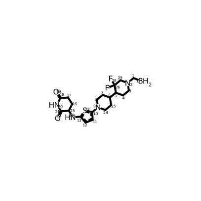 BCN1CCC(C2CCN(c3ccc(NC4CCC(=O)NC4=O)s3)CC2)C(F)(F)C1